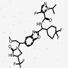 COCC(c1ccc2oc(C(NC(=O)c3c(F)cnn3C(C)C)C3CCC(F)(F)CC3)nc2c1)N1CC(C(F)(F)F)NC1=O